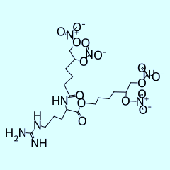 N=C(N)NCCCC(NC(=O)CCCC(CO[N+](=O)[O-])O[N+](=O)[O-])C(=O)OCCCCC(CO[N+](=O)[O-])O[N+](=O)[O-]